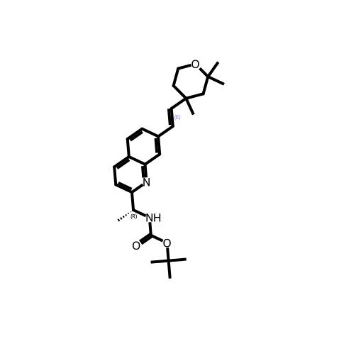 C[C@@H](NC(=O)OC(C)(C)C)c1ccc2ccc(/C=C/C3(C)CCOC(C)(C)C3)cc2n1